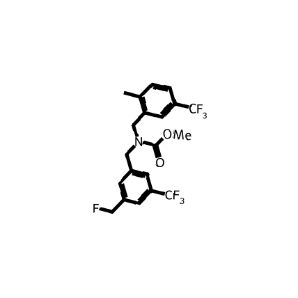 COC(=O)N(Cc1cc(CF)cc(C(F)(F)F)c1)Cc1cc(C(F)(F)F)ccc1C